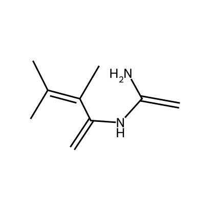 C=C(N)NC(=C)C(C)=C(C)C